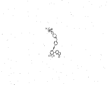 CS(=O)(=O)N1CC2(CCN(Cc3ccc(C#Cc4cccc(C(=O)O)c4-c4ccc5cc[nH]c5c4)cc3)CC2)C1